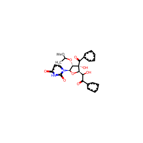 COC(C)O[C@H]1[C@H](n2ccc(=O)[nH]c2=O)O[C@H](C(O)C(=O)c2ccccc2)[C@]1(O)C(=O)c1ccccc1